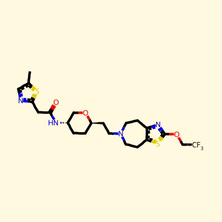 Cc1cnc(CC(=O)N[C@H]2CC[C@H](CCN3CCc4nc(OCC(F)(F)F)sc4CC3)OC2)s1